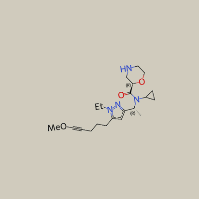 CCn1nc([C@@H](C)N(C(=O)[C@H]2CNCCO2)C2CC2)cc1CCCC#COC